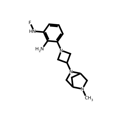 CN1CC2CC1CN2C1CN(c2cccc(NF)c2N)C1